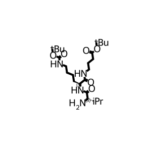 CC(C)[C@H](N)C(=O)N[C@@H](CCCCNC(=O)OC(C)(C)C)C(=O)NCCCC(=O)OC(C)(C)C